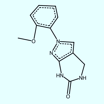 COc1ccccc1-n1cc2c(n1)NC(=O)NC2